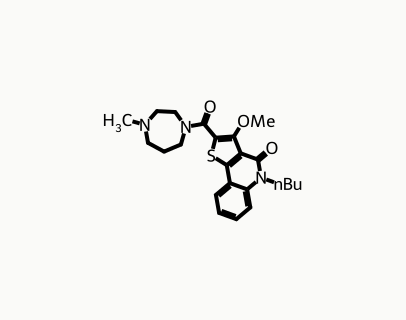 CCCCn1c(=O)c2c(OC)c(C(=O)N3CCCN(C)CC3)sc2c2ccccc21